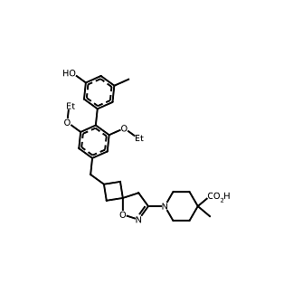 CCOc1cc(CC2CC3(CC(N4CCC(C)(C(=O)O)CC4)=NO3)C2)cc(OCC)c1-c1cc(C)cc(O)c1